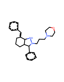 C(=C1CCCC2C1NN(CCCN1CCOCC1)C2c1ccccc1)c1ccccc1